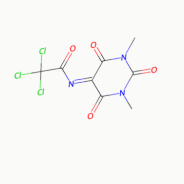 CN1C(=O)C(=NC(=O)C(Cl)(Cl)Cl)C(=O)N(C)C1=O